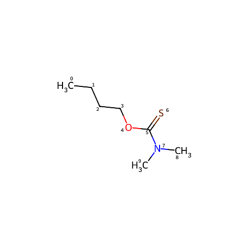 CCCCOC(=S)N(C)C